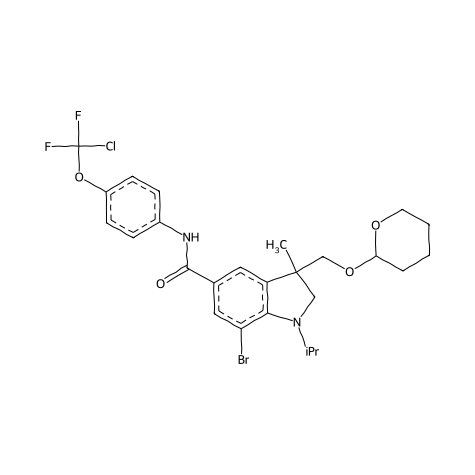 CC(C)N1CC(C)(COC2CCCCO2)c2cc(C(=O)Nc3ccc(OC(F)(F)Cl)cc3)cc(Br)c21